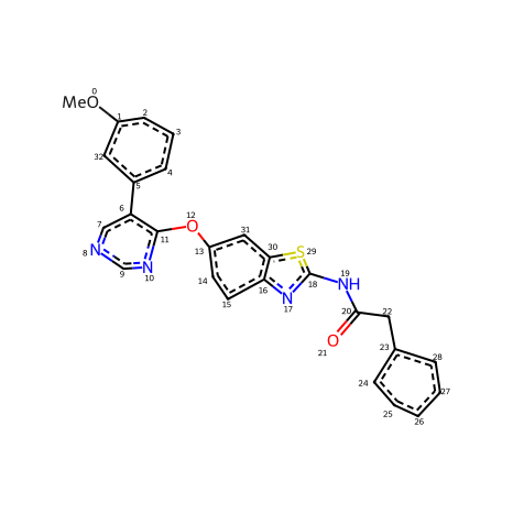 COc1cccc(-c2cncnc2Oc2ccc3nc(NC(=O)Cc4ccccc4)sc3c2)c1